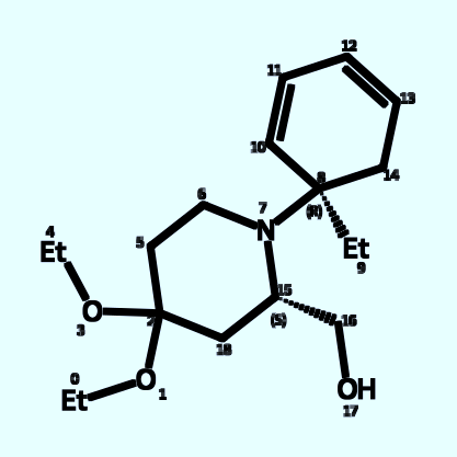 CCOC1(OCC)CCN([C@@]2(CC)C=CC=CC2)[C@H](CO)C1